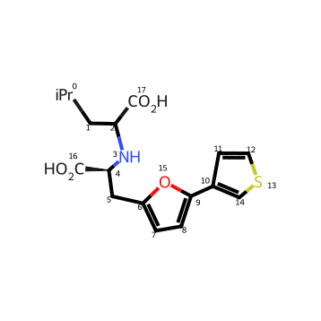 CC(C)CC(N[C@@H](Cc1ccc(-c2ccsc2)o1)C(=O)O)C(=O)O